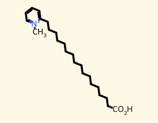 C[n+]1ccccc1CCCCCCCCCCCCCCCCC(=O)O